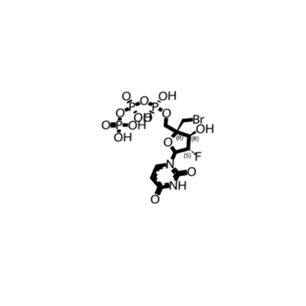 O=c1ccn(C2O[C@](CBr)(COP(=O)(O)OP(=O)(O)OP(=O)(O)O)[C@@H](O)[C@@H]2F)c(=O)[nH]1